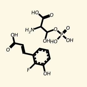 NC(C(=O)O)C(O)OP(=O)(O)O.O=C(O)/C=C/c1cccc(O)c1F